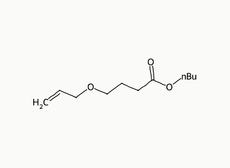 C=CCOCCCC(=O)OCCCC